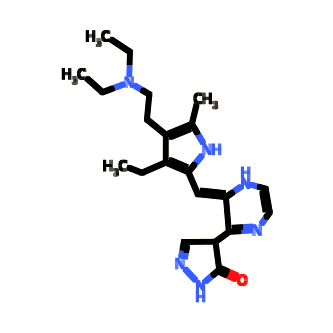 CCc1c(C=C2NC=CN=C2C2C=NNC2=O)[nH]c(C)c1CCN(CC)CC